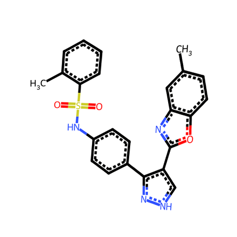 Cc1ccc2oc(-c3c[nH]nc3-c3ccc(NS(=O)(=O)c4ccccc4C)cc3)nc2c1